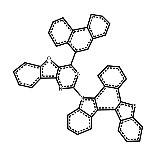 c1ccc2c(c1)cc(-c1nc(-n3c4ccccc4c4c5c6ccccc6sc5c5ccccc5c43)nc3c1oc1ccccc13)c1ccccc12